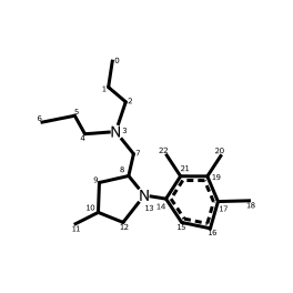 CCCN(CCC)CC1CC(C)CN1c1ccc(C)c(C)c1C